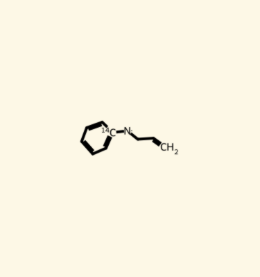 C=CC[N][14c]1ccccc1